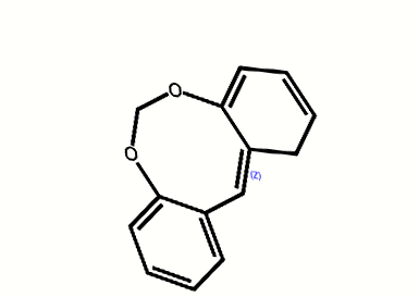 C1=CC/C2=C/c3ccccc3OCOC2=C1